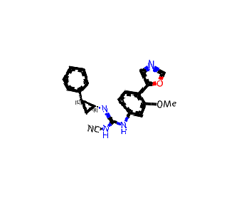 COc1cc(NC(=N[C@@H]2C[C@H]2c2ccccc2)NC#N)ccc1-c1cnco1